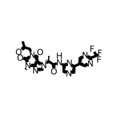 CC(=O)Cn1c(=O)c2c(ncn2[C@@H](C)C(=O)Nc2cncc(-c3cnc(C(F)(F)F)nc3)n2)n(C)c1=O